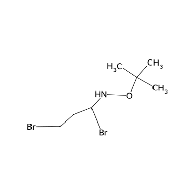 CC(C)(C)ONC(Br)CCBr